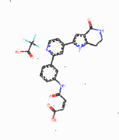 O=C(O)/C=C\C(=O)Nc1cccc(-c2cc(-c3cc4c([nH]3)CCNC4=O)ccn2)c1.O=C(O)C(F)(F)F